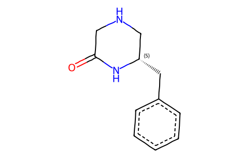 O=C1CNC[C@H](Cc2ccccc2)N1